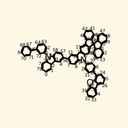 C1=CC2c3cc(-c4ccc5c(c4)c4cc6c(cc4n5-c4ccc(-c5cccc7c5oc5ccccc57)cc4)C4(c5ccccc5-6)c5ccccc5C5C=CC=CC54)ccc3N(c3cccc(-c4ccccc4)c3)C2C=C1